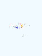 CCCCCCCCCCCCCCCCC(C)C(C)(N)O.COS(=O)(=O)OC